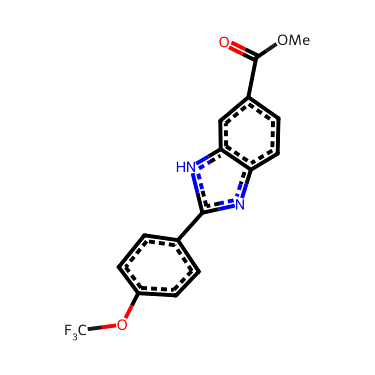 COC(=O)c1ccc2nc(-c3ccc(OC(F)(F)F)cc3)[nH]c2c1